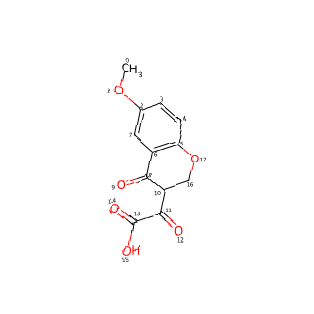 COc1ccc2c(c1)C(=O)C(C(=O)C(=O)O)CO2